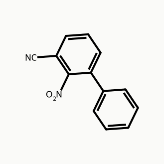 N#Cc1cccc(-c2ccccc2)c1[N+](=O)[O-]